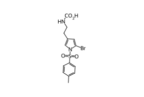 Cc1ccc(S(=O)(=O)n2cc(CCNC(=O)O)cc2Br)cc1